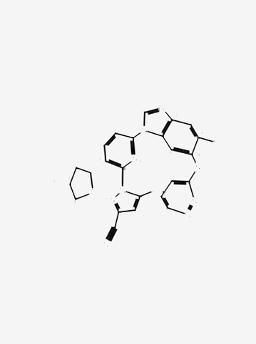 Cc1cc(C#N)nn1-c1nc(-n2cnc3cc(F)c(Nc4cccnn4)cc32)ccc1[C@H]1C[C@@H](F)CO1